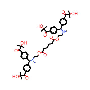 CN(CCOC(=O)CCCCC(=O)OCCN(C)C(c1ccc(C(=O)C(C)(C)O)cc1)c1ccc(C(=O)C(C)(C)O)cc1)C(c1ccc(C(=O)C(C)(C)O)cc1)c1ccc(C(=O)C(C)(C)O)cc1